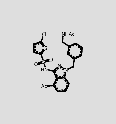 CC(=O)NCc1cccc(Cn2nc(NS(=O)(=O)c3ccc(Cl)s3)c3c(C(C)=O)cccc32)c1